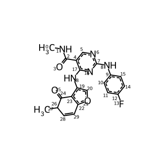 CNC(=O)c1cnc(Nc2ccc(F)cc2)nc1Nc1coc2c1C(=O)C(C)C=C2